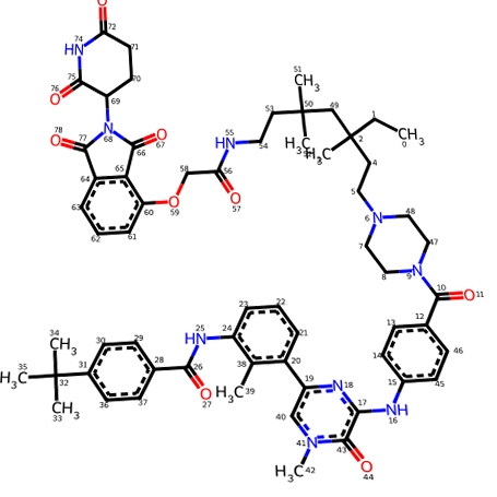 CCC(C)(CCN1CCN(C(=O)c2ccc(Nc3nc(-c4cccc(NC(=O)c5ccc(C(C)(C)C)cc5)c4C)cn(C)c3=O)cc2)CC1)CC(C)(C)CCNC(=O)COc1cccc2c1C(=O)N(C1CCC(=O)NC1=O)C2=O